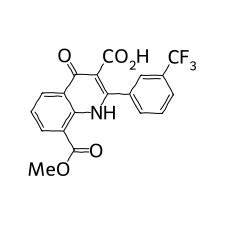 COC(=O)c1cccc2c(=O)c(C(=O)O)c(-c3cccc(C(F)(F)F)c3)[nH]c12